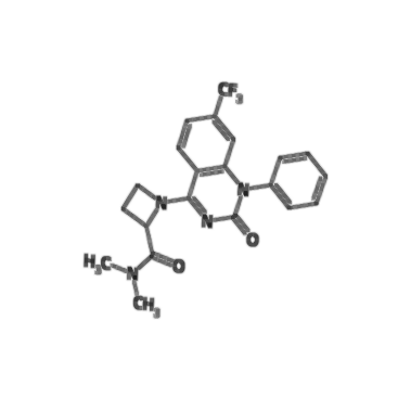 CN(C)C(=O)C1CCN1c1nc(=O)n(-c2ccccc2)c2cc(C(F)(F)F)ccc12